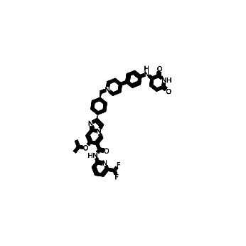 CC(C)Oc1cc2nc([C@H]3CC[C@H](CN4CCC(c5ccc(NC6CCC(=O)NC6=O)cc5)CC4)CC3)cn2cc1C(=O)Nc1cccc(C(F)F)n1